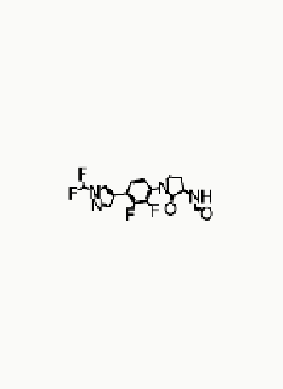 O=CNC1CCN(c2ccc(-c3cnn(C(F)F)c3)c(F)c2F)C1=O